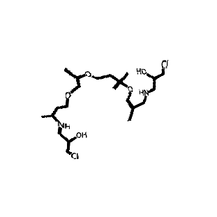 CC(CNCC(O)CCl)COC(C)(C)CCOC(C)COCCC(C)NCC(O)CCl